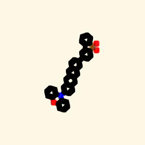 O=S1(=O)c2ccccc2-c2cc(-c3ccc4cc5c(cc4c3)Cc3ccc(N4c6ccccc6Oc6ccccc64)cc3C5)ccc21